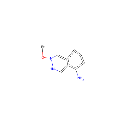 CCON1C=c2cccc(N)c2=CN1